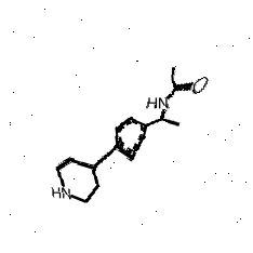 CC(=O)NC(C)c1ccc(C2CCNCC2)cc1